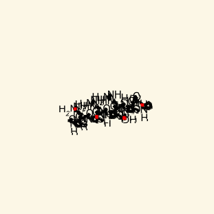 COc1ccc(NC(=O)[C@@H](CCCNC(=N)N)NC(=O)c2cc(NC(=O)[C@@H](CCCNC(=N)N)NC(=O)c3cc(NC(=O)[C@@H](CCCNC(=N)N)NC(=O)c4cc(NC(C)=O)ccc4OC)ccc3OC)ccc2OCC(=O)O)cc1C(=O)N[C@H](Cc1c[nH]c2ccccc12)C(=O)O